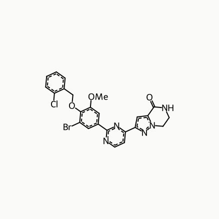 COc1cc(-c2nccc(-c3cc4n(n3)CCNC4=O)n2)cc(Br)c1OCc1ccccc1Cl